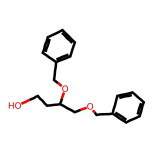 OCCC(COCc1ccccc1)OCc1ccccc1